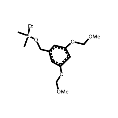 CC[Si](C)(C)OCc1cc(OCOC)cc(OCOC)c1